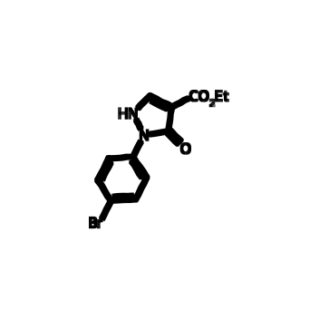 CCOC(=O)c1c[nH]n(-c2ccc(Br)cc2)c1=O